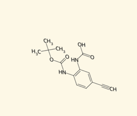 C#Cc1ccc(NC(=O)OC(C)(C)C)c(NC(=O)O)c1